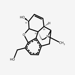 CN1CC[C@]23c4c5ccc(CO)c4OC2[C@@H](O)C=C[C@H]3C1C5